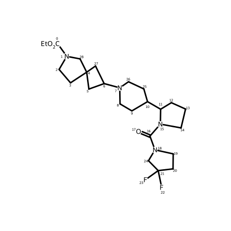 CCOC(=O)N1CCC2(CC(N3CCC(C4CCCN4C(=O)N4CCC(F)(F)C4)CC3)C2)C1